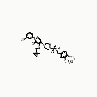 CCOC(=O)c1cc(CNS(=O)(=O)N2CCN(c3cnn(-c4cccc(Cl)c4)c(=O)c3OCC3(C)CC3)CC2)ccc1N